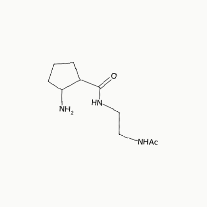 CC(=O)NCCNC(=O)C1CCCC1N